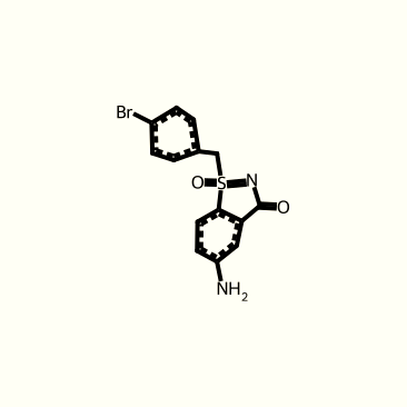 Nc1ccc2c(c1)C(=O)N=S2(=O)Cc1ccc(Br)cc1